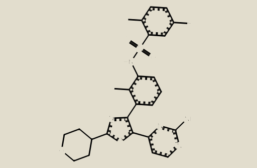 Nc1nccc(-c2sc(C3CCOCC3)nc2-c2cccc(NS(=O)(=O)c3cc(F)ccc3F)c2Cl)n1